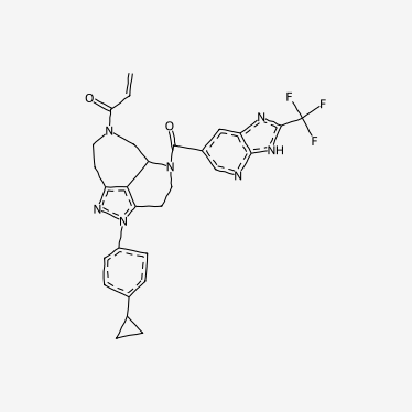 C=CC(=O)N1CCc2nn(-c3ccc(C4CC4)cc3)c3c2C(C1)N(C(=O)c1cnc2[nH]c(C(F)(F)F)nc2c1)CC3